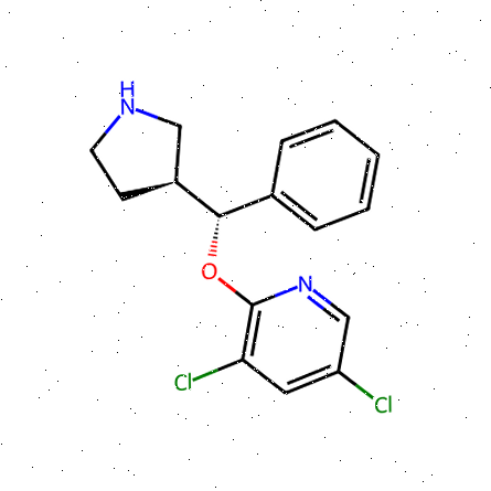 Clc1cnc(O[C@@H](c2ccccc2)[C@H]2CCNC2)c(Cl)c1